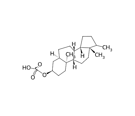 CC1CC[C@H]2[C@H]3CC[C@@H]4C[C@H](OS(=O)(=O)O)CC[C@]4(C)[C@H]3CC[C@@]12C